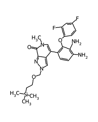 Cn1cc(-c2ccc(N)c(N)c2Oc2ccc(F)cc2F)c2cn(COCC[Si](C)(C)C)nc2c1=O